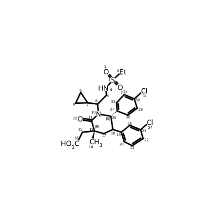 CCS(=O)(=O)NCC(C1CC1)N1C(=O)[C@@](C)(CC(=O)O)CC(c2cccc(Cl)c2)[C@H]1c1ccc(Cl)cc1